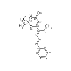 CC/C(=C\C=C\c1ccccc1)C1=CC(=O)OC(C)(C)O1